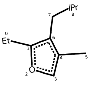 CCc1occ(C)c1CC(C)C